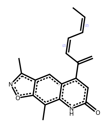 C=C(/C=C\C=C/C)c1cc(=O)[nH]c2c(C)c3onc(C)c3cc12